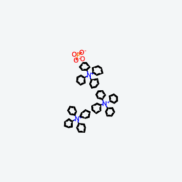 O=P([O-])([O-])[O-].c1ccc([N+](c2ccccc2)(c2ccccc2)c2ccccc2)cc1.c1ccc([N+](c2ccccc2)(c2ccccc2)c2ccccc2)cc1.c1ccc([N+](c2ccccc2)(c2ccccc2)c2ccccc2)cc1